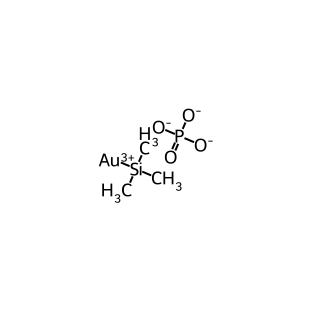 C[Si](C)(C)[Au+3].O=P([O-])([O-])[O-]